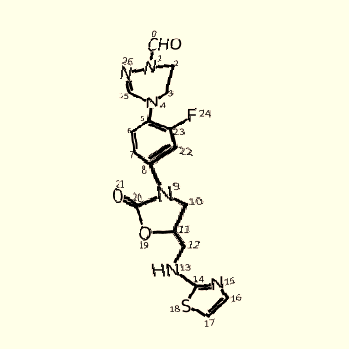 O=CN1CCN(c2ccc(N3CC(CNc4nccs4)OC3=O)cc2F)C=N1